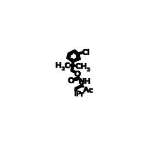 CC(=O)[C@H](CC(C)C)NC(=O)OCC(C)(C)c1cccc(Cl)c1